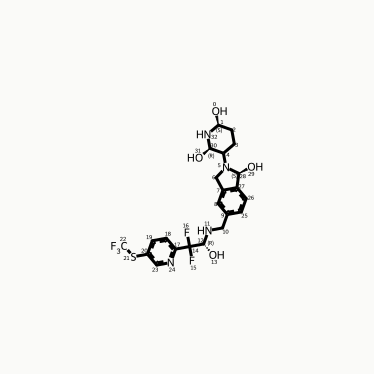 O[C@H]1CCC(N2Cc3cc(CN[C@H](O)C(F)(F)c4ccc(SC(F)(F)F)cn4)ccc3[C@@H]2O)[C@@H](O)N1